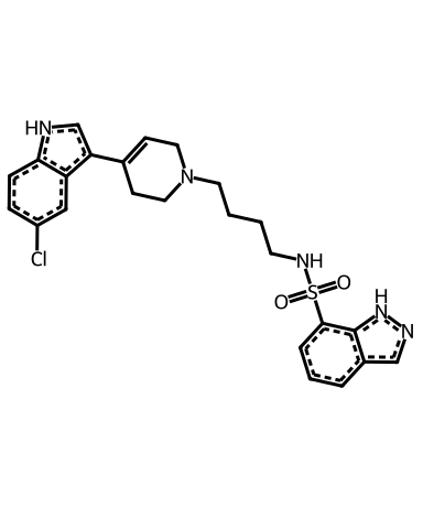 O=S(=O)(NCCCCN1CC=C(c2c[nH]c3ccc(Cl)cc23)CC1)c1cccc2cn[nH]c12